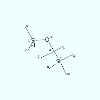 C[SiH](C)OC(C)(C)[Si](C)(C)C